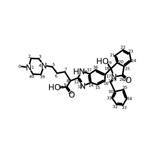 CN1CCN(CCCC(C(=O)O)c2nc3ccc(C4(O)c5ccccc5C(=O)N4Cc4ccccc4)cc3[nH]2)CC1